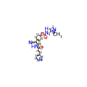 Cn1nccc1CNC(=O)OC1CCc2c(sc(NC(=O)C=Cc3cccnc3)c2C#N)C1